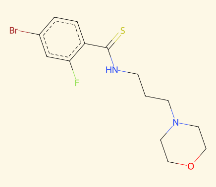 Fc1cc(Br)ccc1C(=S)NCCCN1CCOCC1